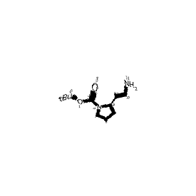 CC(C)(C)OC(=O)N1CCC[C@@H]1CCN